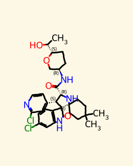 CC(O)[C@@H]1CC[C@@H](NC(=O)[C@@H]2NC3(CCC(C)(C)CC3)[C@@]3(C(=O)Nc4cc(Cl)ccc43)[C@@H]2c2ccnc(Cl)c2)CO1